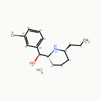 CCC[C@H]1CCC[C@H]([C@@H](O)c2cccc(Cl)c2)N1.Cl